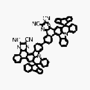 N#Cc1nc2c3cc(-c4ccc5c6c7c(cc8c6n(c5c4)-c4ccccc4C84c5ccccc5-c5ccccc54)c4ccccc4c4nc(C#N)c(C#N)nc47)ccc3c3c(cc4c5c3c3ccccc3n5-c3ccccc3C43c4ccccc4-c4ccccc43)c2nc1C#N